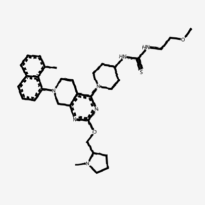 COCCNC(=S)NC1CCN(c2nc(OCC3CCCN3C)nc3c2CCN(c2cccc4cccc(C)c24)C3)CC1